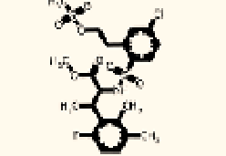 COC(=O)C(NS(=O)(=O)c1ccc(Cl)cc1CCOS(C)(=O)=O)C(C)c1c(F)ccc(C)c1C